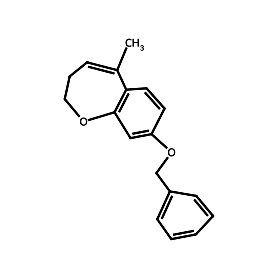 CC1=CCCOc2cc(OCc3ccccc3)ccc21